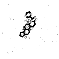 C[C@@]12CCC[C@H]1[C@@H]1CC[C@@H]3[C@](C)(C=CC(=O)[N+]3(C)C(=O)c3cnccn3)[C@H]1CC2